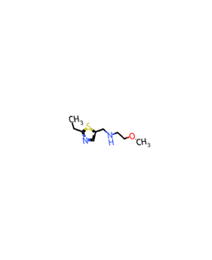 CCc1ncc(CNCCOC)s1